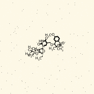 CC[C@H]1O[C@@H](n2cc(CO[C@H](c3cc(OC)ccc3[N+](=O)[O-])C(C)(C)C)c(=O)[nH]c2=O)C[C@H]1O[Si](C)(C)C(C)(C)C